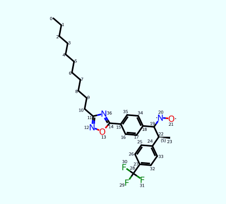 CCCCCCCCCCCc1noc(-c2ccc(C([N][O])[C@@H](C)c3ccc(C(F)(F)F)cc3)cc2)n1